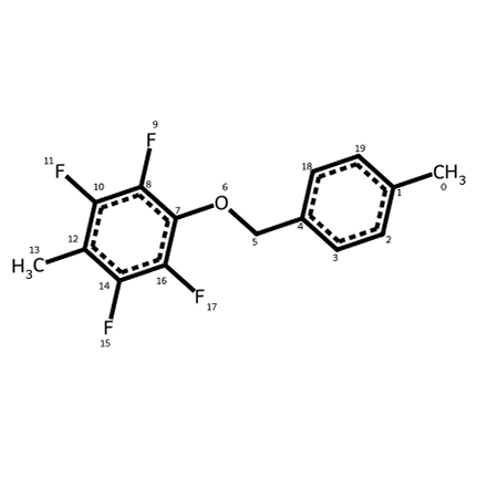 Cc1ccc(COc2c(F)c(F)c(C)c(F)c2F)cc1